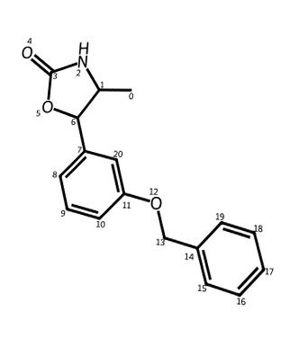 CC1NC(=O)OC1c1cccc(OCc2ccccc2)c1